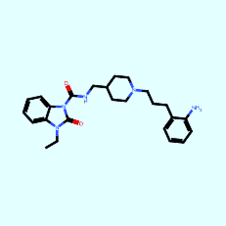 CCn1c(=O)n(C(=O)NCC2CCN(CCCc3ccccc3N)CC2)c2ccccc21